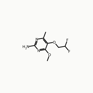 COc1nc(N)nc(C)c1OCC(F)F